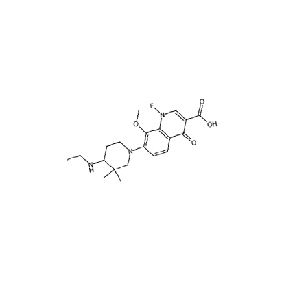 CCNC1CCN(c2ccc3c(=O)c(C(=O)O)cn(F)c3c2OC)CC1(C)C